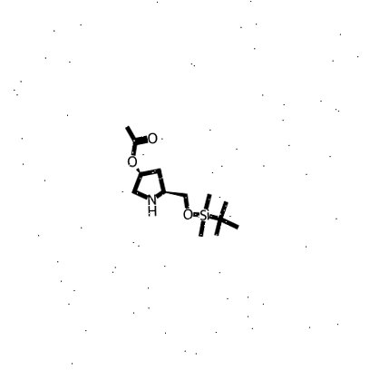 CC(=O)O[C@H]1CN[C@H](CO[Si](C)(C)C(C)(C)C)C1